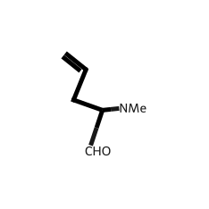 C=CCC(C=O)NC